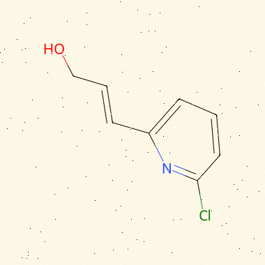 OCC=Cc1cccc(Cl)n1